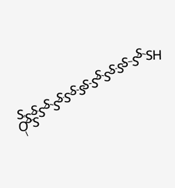 COS(=S)(=S)SSSSSSSSSSSSSSSSSS